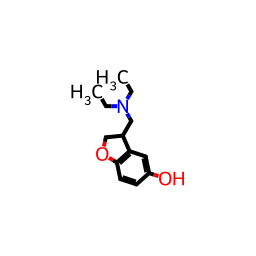 CCN(CC)CC1COc2ccc(O)cc21